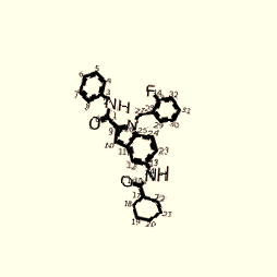 O=C(Nc1ccccc1)c1cc2cc(NC(=O)C3CCCCC3)ccc2n1Cc1ccccc1F